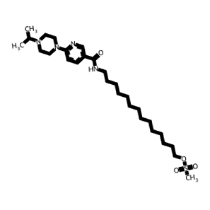 CC(C)N1CCN(c2ccc(C(=O)NCCCCCCCCCCCCCCOS(C)(=O)=O)cn2)CC1